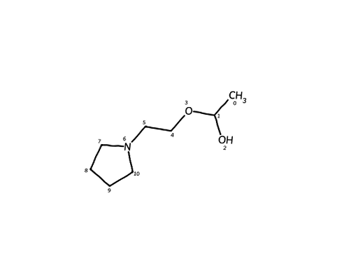 CC(O)OCCN1CCCC1